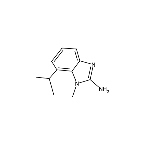 CC(C)c1cccc2nc(N)n(C)c12